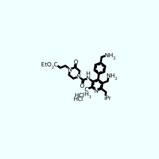 CCOC(=O)CCN1CCN(C(=O)Nc2c(C)nc(CC(C)C)c(CN)c2-c2ccc(CN)cc2)CC1=O.Cl.Cl